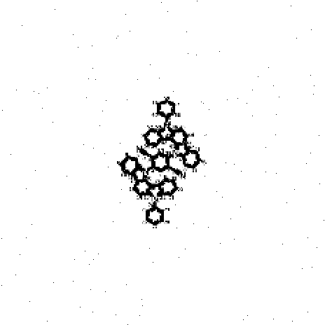 N#Cc1cc(-n2c3ccccc3c3ccc4c(c5ccccc5n4-c4ccccc4)c32)c(C#N)cc1-n1c2ccccc2c2ccc3c(c4ccccc4n3-c3ccccc3)c21